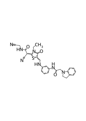 CCn1c(=C(C#N)C(=O)NCC#N)sc(=CNc2cccc(NC(=O)CN3CCc4ccccc43)c2)c1=O